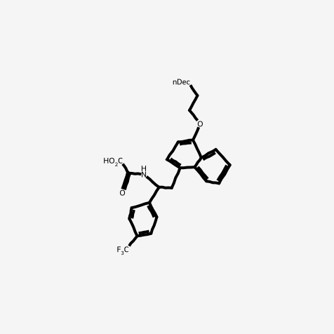 CCCCCCCCCCCCOc1ccc(CC(NC(=O)C(=O)O)c2ccc(C(F)(F)F)cc2)c2ccccc12